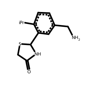 CC(C)c1ccc(CN)cc1C1NC(=O)CS1